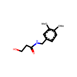 COc1ccc(CNC(=O)CCO)cc1OC